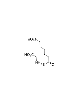 CCCCCCCCCCCCC[C](=O)[K].NCC(=O)O